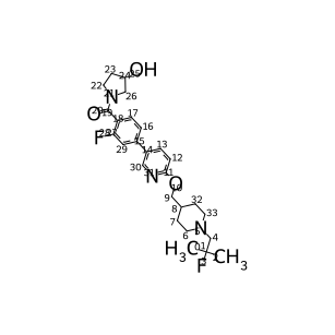 CC(C)(F)CN1CCC(COc2ccc(-c3ccc(C(=O)N4CC[C@H](O)C4)c(F)c3)cn2)CC1